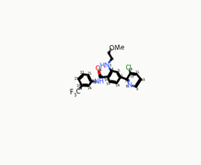 COCCNc1cc(-c2ncccc2Cl)ccc1C(=O)Nc1cccc(C(F)(F)F)c1